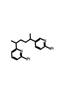 CC(C)c1ccc(C(C)CCC(C)c2cccc(C(C)C)n2)cn1